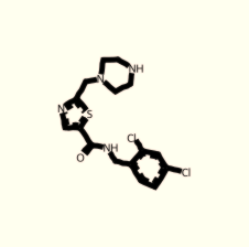 O=C(NCc1ccc(Cl)cc1Cl)c1cnc(CN2CCNCC2)s1